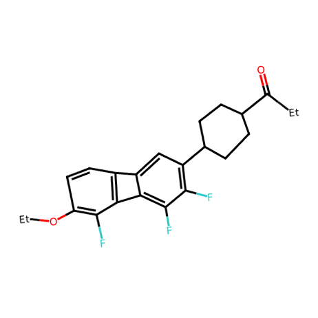 CCOc1ccc2c(c1F)-c1c-2cc(C2CCC(C(=O)CC)CC2)c(F)c1F